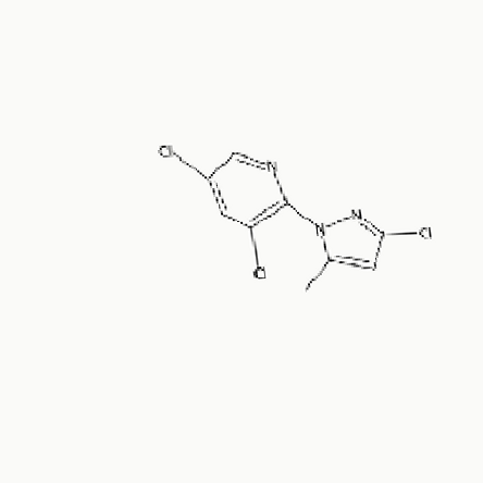 Cc1cc(Cl)nn1-c1ncc(Cl)cc1Cl